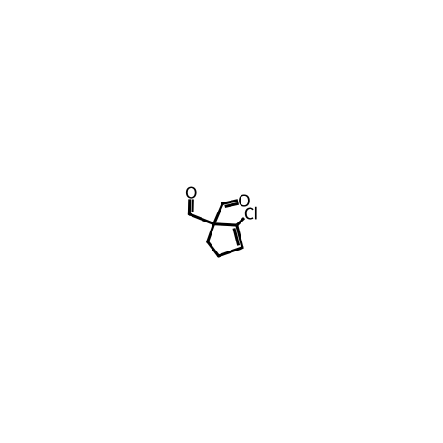 O=CC1(C=O)CCC=C1Cl